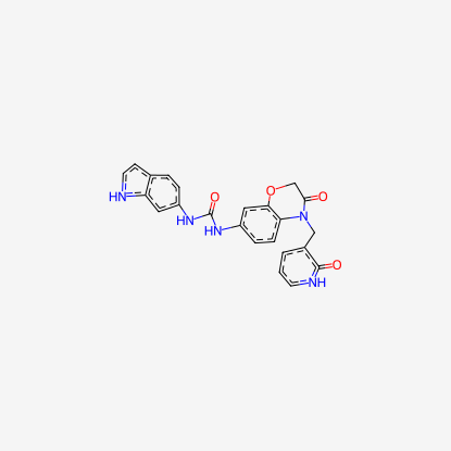 O=C(Nc1ccc2c(c1)OCC(=O)N2Cc1ccc[nH]c1=O)Nc1ccc2cc[nH]c2c1